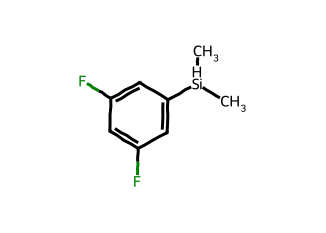 C[SiH](C)c1cc(F)cc(F)c1